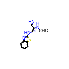 N=C/C(=C\Nc1nc2ccccc2s1)NC=O